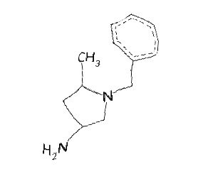 CC1CC(N)CN1Cc1ccccc1